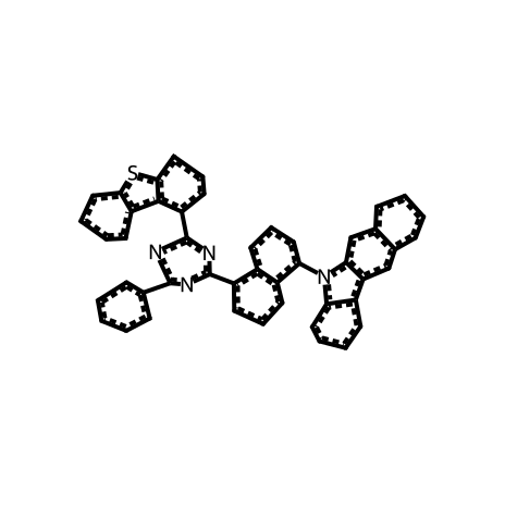 c1ccc(-c2nc(-c3cccc4c(-n5c6ccccc6c6cc7ccccc7cc65)cccc34)nc(-c3cccc4sc5ccccc5c34)n2)cc1